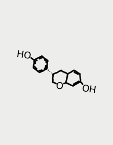 OC1=CC2OC[C@H](c3ccc(O)cc3)CC2C=C1